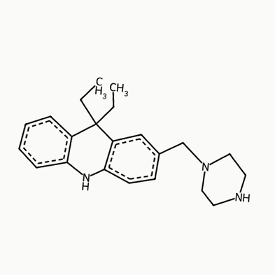 CCC1(CC)c2ccccc2Nc2ccc(CN3CCNCC3)cc21